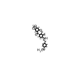 COc1ccc(CCNc2ccc3c(c2F)COc2cc4c(cc2C3=O)OCO4)cc1